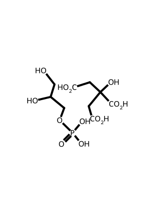 O=C(O)CC(O)(CC(=O)O)C(=O)O.O=P(O)(O)OCC(O)CO